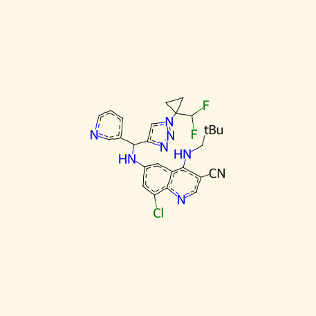 CC(C)(C)CNc1c(C#N)cnc2c(Cl)cc(NC(c3cccnc3)c3cn(C4(C(F)F)CC4)nn3)cc12